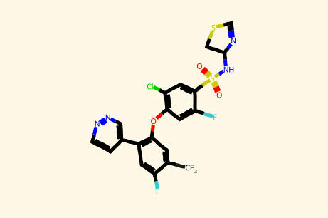 O=S(=O)(NC1CSC=N1)c1cc(Cl)c(Oc2cc(C(F)(F)F)c(F)cc2-c2ccnnc2)cc1F